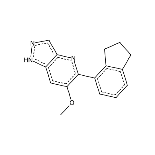 COc1cc2[nH]ncc2nc1-c1cccc2c1CCC2